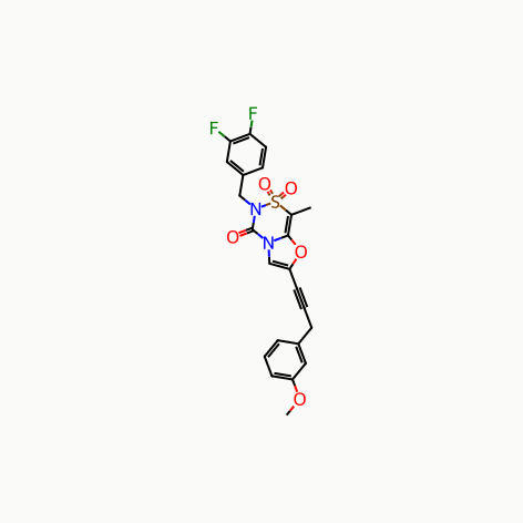 COc1cccc(CC#CC2=CN3C(=O)N(Cc4ccc(F)c(F)c4)S(=O)(=O)C(C)=C3O2)c1